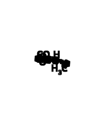 CC1CCCN1CCc1ccc(-c2ccc(S(=O)(=O)N3CCCC3C(=O)O)cc2)cc1